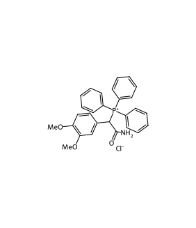 COc1ccc(C(C(N)=O)[P+](c2ccccc2)(c2ccccc2)c2ccccc2)cc1OC.[Cl-]